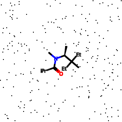 CCC(C)(CC)[C@H](C)N(C)C(=O)C(C)C